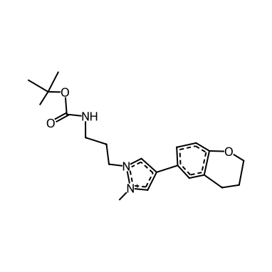 C[n+]1cc(-c2ccc3c(c2)CCCO3)cn1CCCNC(=O)OC(C)(C)C